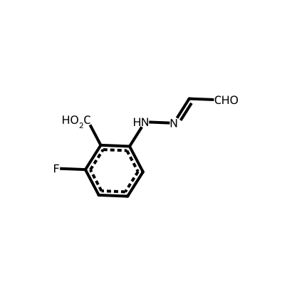 O=CC=NNc1cccc(F)c1C(=O)O